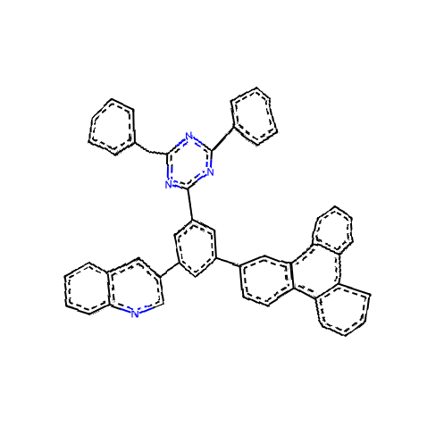 c1ccc(-c2nc(-c3ccccc3)nc(-c3cc(-c4cnc5ccccc5c4)cc(-c4ccc5c6ccccc6c6ccccc6c5c4)c3)n2)cc1